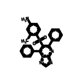 Cc1cc(N)ccc1S(=O)(=O)c1c(-c2ccccc2)nc2ncnn2c1-c1ccccc1